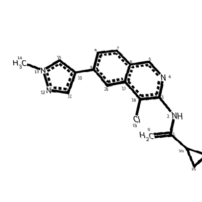 C=C(Nc1ncc2ccc(-c3cnn(C)c3)cc2c1Cl)C1CC1